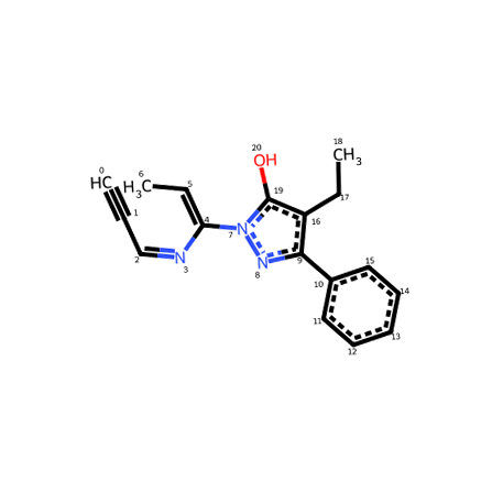 C#C/C=N\C(=C/C)n1nc(-c2ccccc2)c(CC)c1O